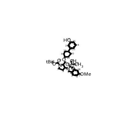 COc1ccc(CN(C2CCN(C(=O)OC(C)(C)C)C2COC2CCC(c3cccc(O)c3)CC2)S(=O)(=O)N(C)C)cc1